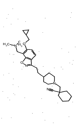 CN(C)Cc1c(OCC2CC2)ccc2c(CCC3CCN(CC4(C#N)CCCCC4)CC3)noc12